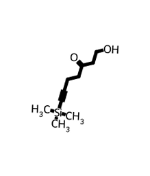 C[Si](C)(C)C#CCCC(=O)CCO